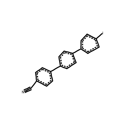 N#Cc1ccc(-c2ccc(-c3ccc(I)cc3)cc2)cc1